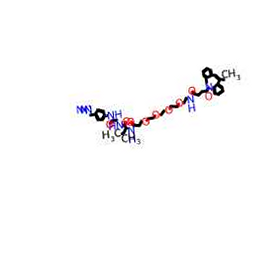 CC/C1=C/c2ccccc2CN(C(=O)CCC(=O)NCCOCCOCCOCCOCCC(=O)N[C@H](C(=O)NCC(=O)Nc2ccc(CN=[N+]=[N-])cc2)C(C)C)c2ccccc21